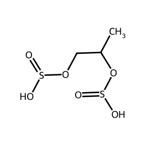 CC(COS(=O)O)OS(=O)O